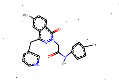 CCCCc1ccc2c(=O)n(CC(=O)N(CC)c3ccc(CC)cc3)nc(Cc3cccnc3)c2c1